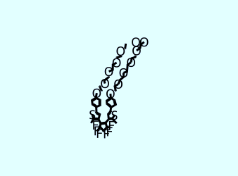 CCOCCOCCOCCOCCOc1ccc(-c2cc(C3=C(c4cc(-c5ccc(OCCOCCOCCOCCOCC(=O)OC)cc5)sc4C)C(F)(F)C(F)(F)C3(F)F)c(C)s2)cc1